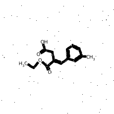 CCOC(=O)/C(=C/c1cccc(C)c1)CC(=O)O